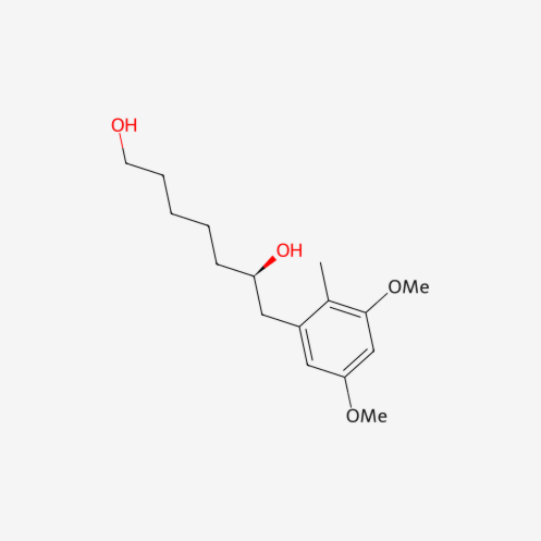 COc1cc(C[C@H](O)CCCCCO)c(C)c(OC)c1